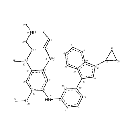 CC=CNc1cc(Nc2nccc(-c3cn(C4CC4)c4ccccc34)n2)c(OC)cc1N(C)CCNC